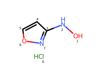 Cl.ONc1ccon1